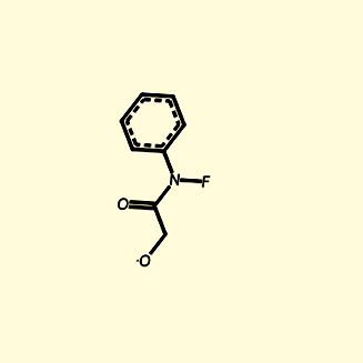 [O]CC(=O)N(F)c1ccccc1